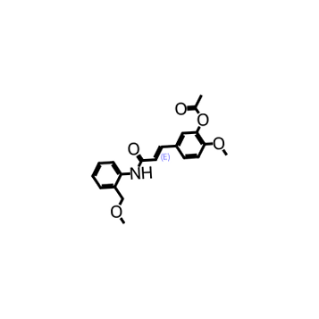 COCc1ccccc1NC(=O)/C=C/c1ccc(OC)c(OC(C)=O)c1